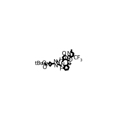 Cc1cc(C(F)(F)F)cc(N2C(=O)C[C@@H]3CN(Cc4nc(C5CN(C(=O)OC(C)(C)C)C5)nn4C)c4c(F)cccc4N(C)C(=O)[C@H]32)n1